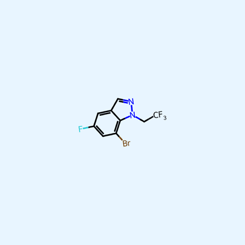 Fc1cc(Br)c2c(cnn2CC(F)(F)F)c1